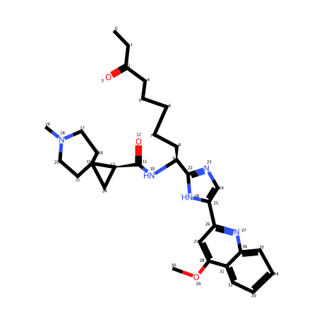 CCC(=O)CCCCC[C@H](NC(=O)[C@H]1CC12CCN(C)CC2)c1ncc(-c2cc(OC)c3ccccc3n2)[nH]1